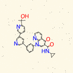 CC(C)(O)c1ccc(-c2cncc(-c3cccc(-n4cc(C(=O)NC5CC5)c(=O)c5cccnc54)c3)c2)cn1